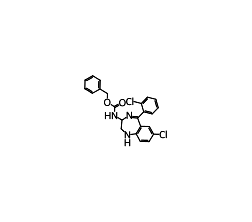 O=C(NC1CNc2ccc(Cl)cc2C(c2ccccc2Cl)=N1)OCc1ccccc1